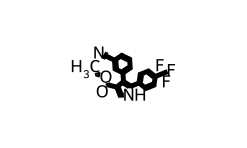 CCOC(=O)c1c[nH]c(-c2ccc(C(F)(F)F)cc2)c1-c1cccc(C#N)c1